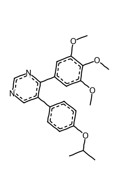 COc1cc(-c2ncncc2-c2ccc(OC(C)C)cc2)cc(OC)c1OC